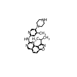 Cc1cc(Nc2ncc3ccc4onc(C(C)C)c4c3n2)ncc1N1CCNCC1